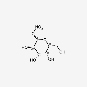 O=[N+]([O-])O[C@H]1O[C@H](CO)[C@H](O)[C@H](O)[C@H]1O